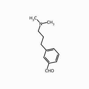 CN(C)CCCc1cccc(C=O)c1